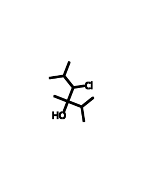 CC(C)C(Cl)C(C)(O)C(C)C